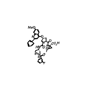 COc1ccc2c(O[C@@H]3C[C@@H](C(=O)N[C@]4(C(=O)O)C[C@H]4I)N(C(=O)N[C@H](CNC(=O)c4cccc(F)c4)CC(C)C)C3)cc(-c3ccccc3)nc2c1